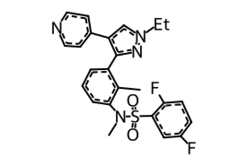 CCn1cc(-c2ccncc2)c(-c2cccc(N(C)S(=O)(=O)c3cc(F)ccc3F)c2C)n1